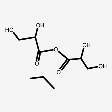 CCC.O=C(OC(=O)C(O)CO)C(O)CO